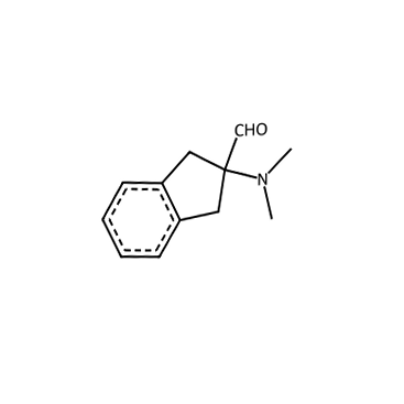 CN(C)C1(C=O)Cc2ccccc2C1